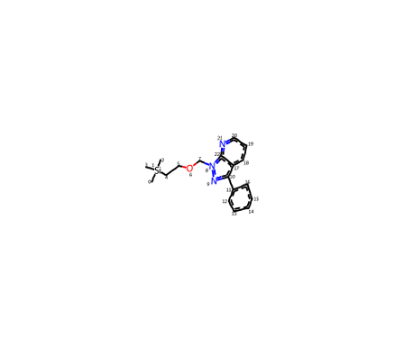 C[Si](C)(C)CCOCn1nc(-c2ccccc2)c2cccnc21